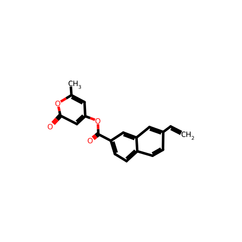 C=Cc1ccc2ccc(C(=O)Oc3cc(C)oc(=O)c3)cc2c1